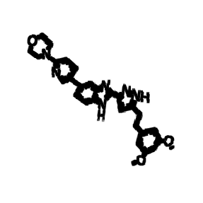 COc1cc(CCc2cc(-c3nc4cc(-c5ccc(N6CCOCC6)nc5)ccc4[nH]3)n[nH]2)cc(OC)c1